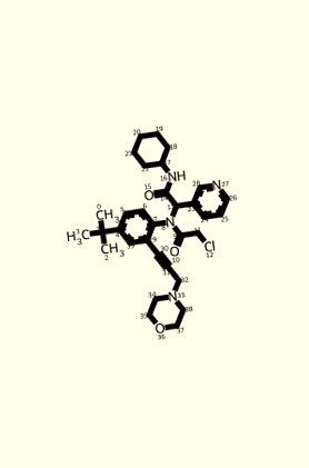 CC(C)(C)c1ccc(N(C(=O)CCl)C(C(=O)NC2CCCCC2)c2cccnc2)c(C#CCN2CCOCC2)c1